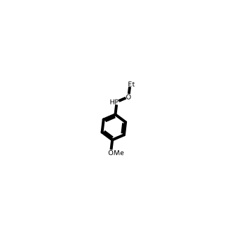 CCOPc1ccc(OC)cc1